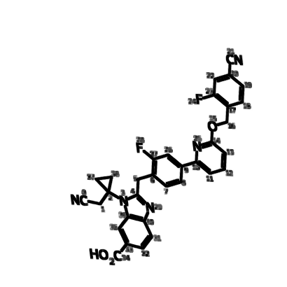 N#CCC1(n2c(Cc3ccc(-c4cccc(OCc5ccc(C#N)cc5F)n4)cc3F)nc3ccc(C(=O)O)cc32)CC1